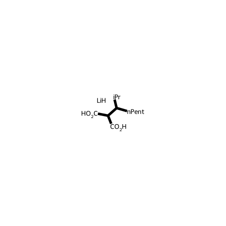 CCCCCC(C(C)C)C(C(=O)O)C(=O)O.[LiH]